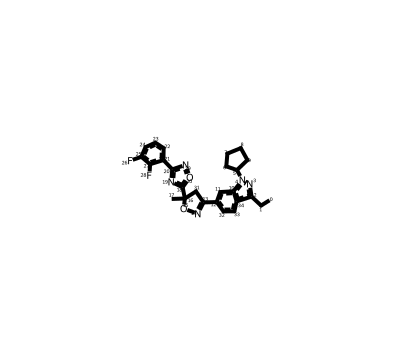 CCc1nn(C2CCCC2)c2cc(C3=NOC(C)(c4nc(-c5cccc(F)c5F)no4)C3)ccc12